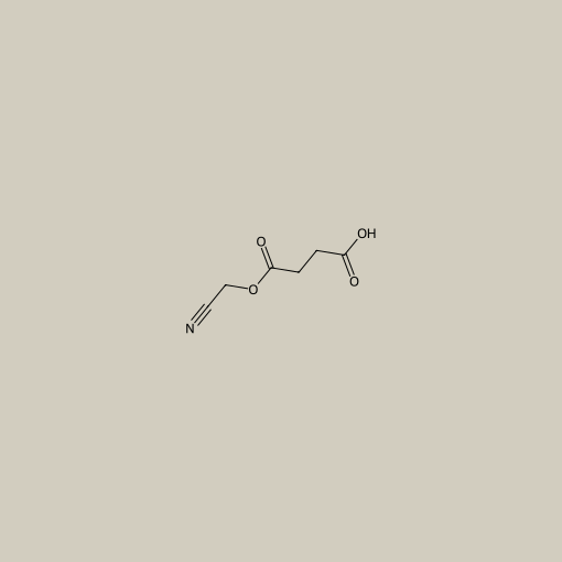 N#CCOC(=O)CCC(=O)O